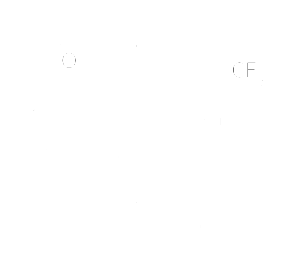 CC1COCc2c1cccc2C(F)(F)F